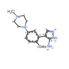 COc1ccc(N2CCN(C)CC2)cc1-c1cn[nH]c1N